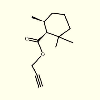 C#CCOC(=O)[C@H]1[C@@H](C)CCCC1(C)C